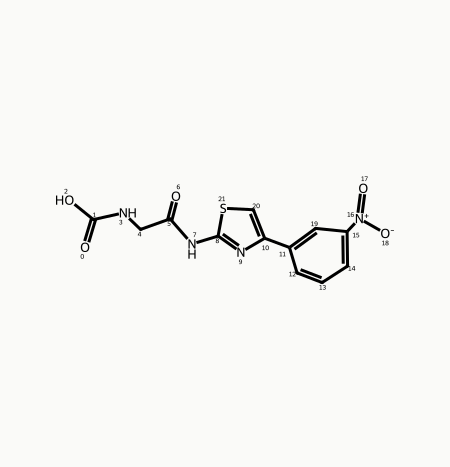 O=C(O)NCC(=O)Nc1nc(-c2cccc([N+](=O)[O-])c2)cs1